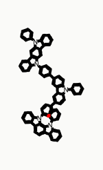 C1=CC2C(C=C1c1ccc(-n3c4ccccc4c4ccc5c6ccccc6n(-c6ccccc6)c5c43)cc1)c1cc(-c3ccc(-n4c5ccccc5c5cc6c(cc54)c4ccccc4n6-c4ccccc4)cc3)ccc1N2c1ccccc1